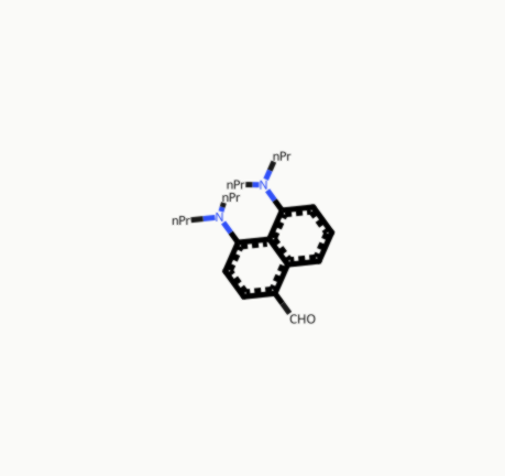 CCCN(CCC)c1cccc2c(C=O)ccc(N(CCC)CCC)c12